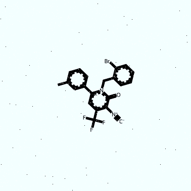 [C-]#[N+]c1c(C(F)(F)F)cc(-c2cccc(C)c2)n(Cc2ccccc2Br)c1=O